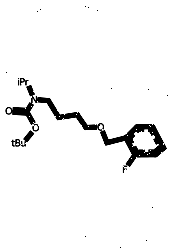 CC(C)N(CCCCOCc1ccccc1F)C(=O)OC(C)(C)C